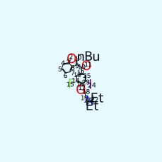 CCCCc1oc2ccccc2c1C(=O)c1cc(F)c(OCCN(CC)CC)c(I)c1